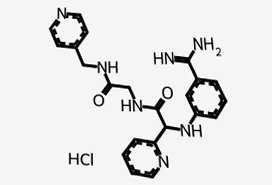 Cl.N=C(N)c1cccc(NC(C(=O)NCC(=O)NCc2ccncc2)c2ccccn2)c1